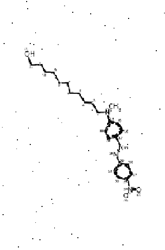 CN(CCCCCCCCCCCO)c1ccc(N=Nc2ccc([N+](=O)[O-])cc2)cc1